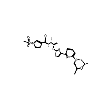 CC1CN(c2cccc(-c3csc(NC(=O)[C@@H](C)NC(=O)c4ccn(S(C)(=O)=O)c4)n3)n2)C[C@@H](C)O1